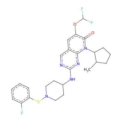 CC1CCCC1n1c(=O)c(OC(F)F)cc2cnc(NC3CCN(Sc4ccccc4F)CC3)nc21